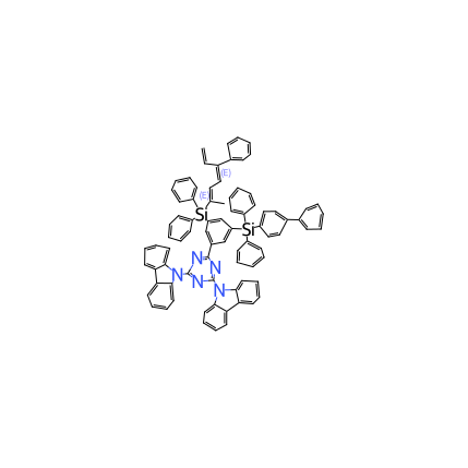 C=C/C(=C\C=C(/C)[Si](c1ccccc1)(c1ccccc1)c1cc(-c2nc(-n3c4ccccc4c4ccccc43)nc(-n3c4ccccc4c4ccccc43)n2)cc([Si](c2ccccc2)(c2ccccc2)c2ccc(-c3ccccc3)cc2)c1)c1ccccc1